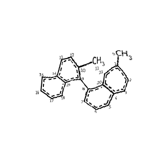 Cc1ccc2cccc(-c3c(C)ccc4ccccc34)c2c1